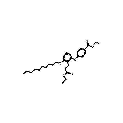 CCCCCCCCCCOc1cccc(Oc2ccc(C(=O)OCC)cc2)c1CCC(=O)OCC